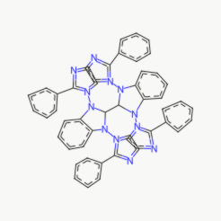 c1ccc(-c2nccn2N2c3ccccc3N(n3ccnc3-c3ccccc3)C2C2N(n3ccnc3-c3ccccc3)c3ccccc3N2n2ccnc2-c2ccccc2)cc1